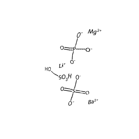 O=P([O-])([O-])[O-].O=S(=O)(O)O.O=S(=O)([O-])[O-].[Ba+2].[Li+].[Mg+2]